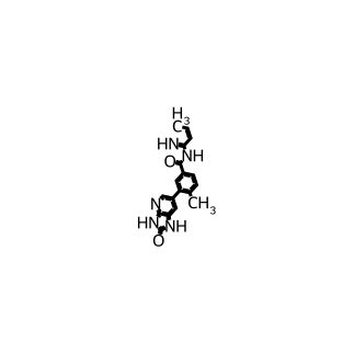 C/C=C\C(=N)NC(=O)c1ccc(C)c(-c2cnc3[nH]c(=O)[nH]c3c2)c1